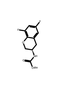 COC(=O)N[C@H]1COc2c(F)cc(F)cc2C1